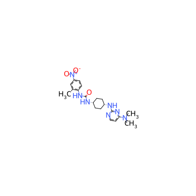 Cc1cc([N+](=O)[O-])ccc1NC(=O)N[C@H]1CC[C@@H](Nc2nccc(N(C)C)n2)CC1